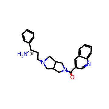 N[C@@H](CCN1CC2CN(C(=O)c3cnc4ccccc4c3)CC2C1)c1ccccc1